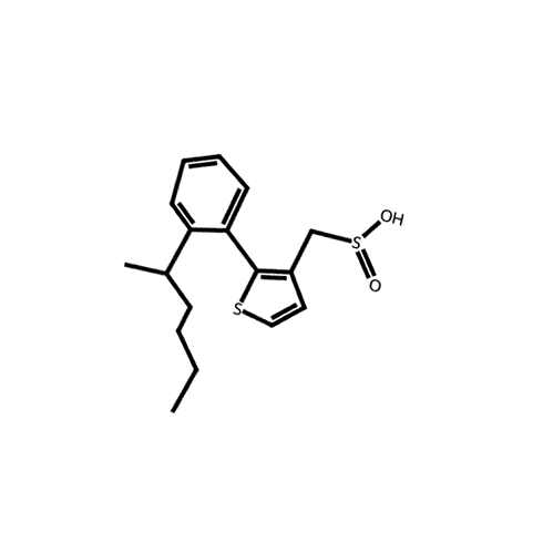 CCCCC(C)c1ccccc1-c1sccc1CS(=O)O